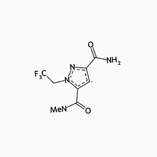 CNC(=O)c1[c]c(C(N)=O)nn1CC(F)(F)F